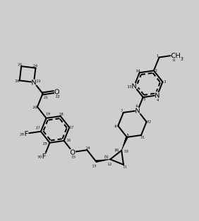 CCc1cnc(N2CCC([C@H]3C[C@H]3CCOc3ccc(CC(=O)N4CCC4)c(F)c3F)CC2)nc1